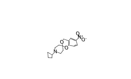 O=[N+]([O-])c1ccc2c(c1)COC1(CCN(C3CCC3)CC1)O2